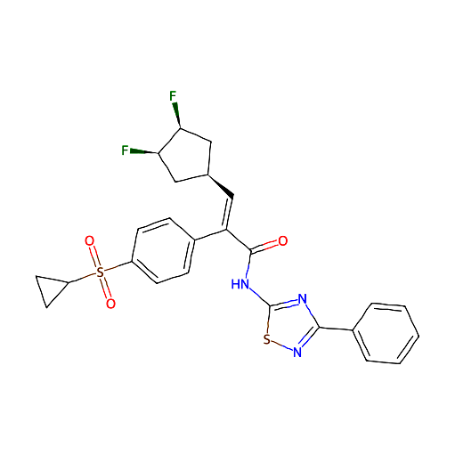 O=C(Nc1nc(-c2ccccc2)ns1)/C(=C/[C@H]1C[C@@H](F)[C@@H](F)C1)c1ccc(S(=O)(=O)C2CC2)cc1